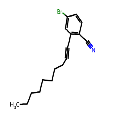 CCCCCCCCC#Cc1cc(Br)ccc1C#N